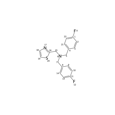 Fc1ccc(CN(Cc2ccc(F)cc2)Cc2nccs2)cc1